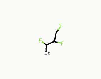 [CH2]CC(F)C(F)CF